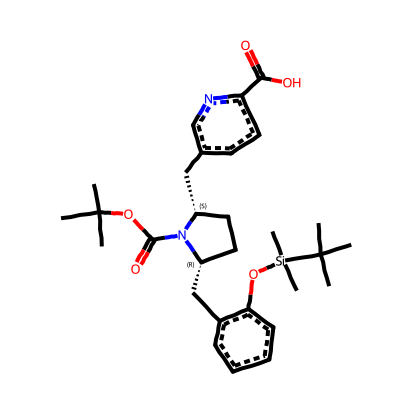 CC(C)(C)OC(=O)N1[C@@H](Cc2ccccc2O[Si](C)(C)C(C)(C)C)CC[C@H]1Cc1ccc(C(=O)O)nc1